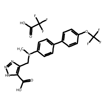 CN(Cc1nn[nH]c1C(=O)O)c1ccc(-c2ccc(OC(F)(F)F)cc2)cc1.O=C(O)C(F)(F)F